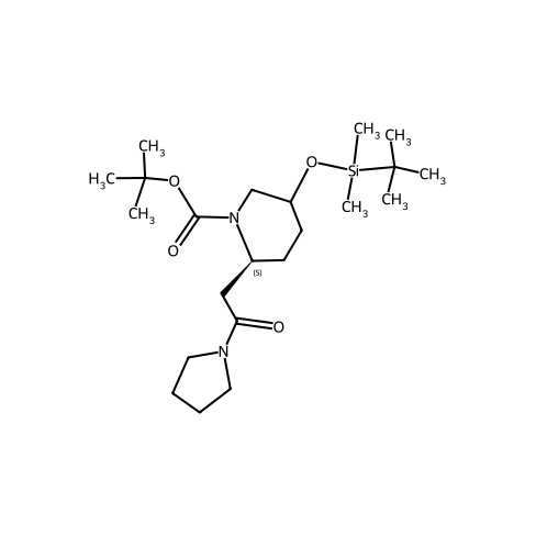 CC(C)(C)OC(=O)N1CC(O[Si](C)(C)C(C)(C)C)CC[C@H]1CC(=O)N1CCCC1